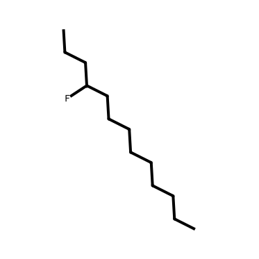 CCCCCCCCC[C](F)CCC